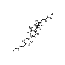 CCCCCC1CCC(c2ccc(C34CCC(CCCCC)(CC3)CC4)c(F)c2)CC1